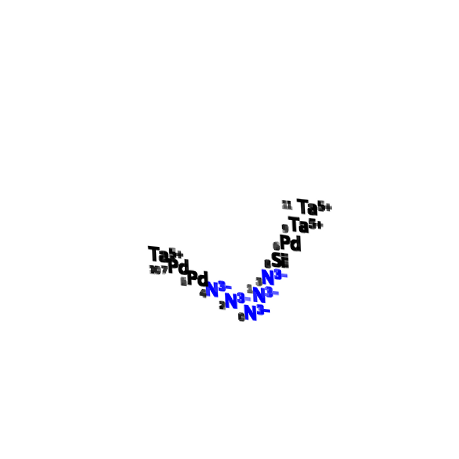 [N-3].[N-3].[N-3].[N-3].[N-3].[Pd].[Pd].[Pd].[Si].[Ta+5].[Ta+5].[Ta+5]